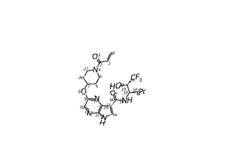 C=CC(=O)N1CCC(Oc2cnc3[nH]cc(C(=O)NC(C(C)C)[C@@H](O)C(F)(F)F)c3n2)CC1